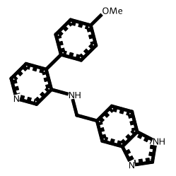 COc1ccc(-c2ccncc2NCc2ccc3[nH]cnc3c2)cc1